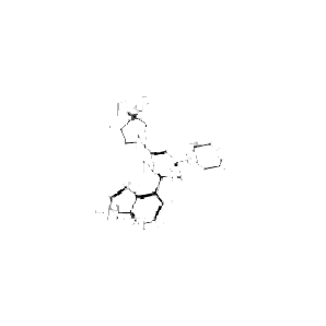 C[C@@H]1COCCN1c1cc(N2CCC(F)(F)C2)nc(-c2ccnc3[nH]ccc23)n1